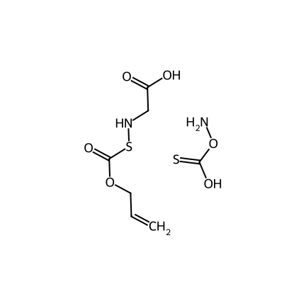 C=CCOC(=O)SNCC(=O)O.NOC(O)=S